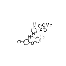 COC(=O)C(C)(C)[C@@H]1CN(C2=Nc3cc(Cl)ccc3Oc3ccccc32)CCN1